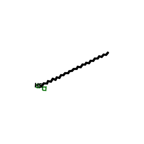 CCCCCCCCCCCCCCCCCCCCCCCCCCCCCCC[SiH](Cl)Cl